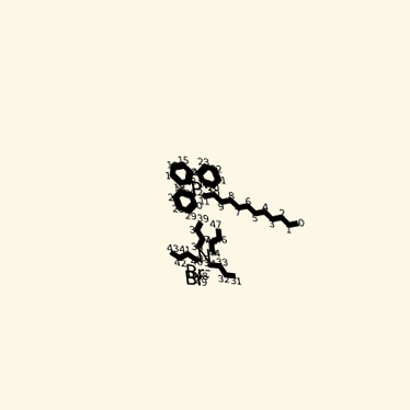 CCCCCCCCCCCC[P+](c1ccccc1)(c1ccccc1)c1ccccc1.CCCC[N+](CCCC)(CCCC)CCCC.[Br-].[Br-]